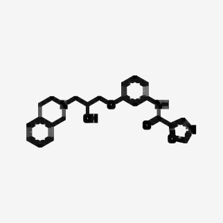 O=C(Nc1cccc(OCC(O)CN2CCc3ccccc3C2)c1)c1cnco1